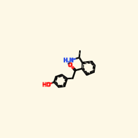 CC(N)c1ccccc1C(=O)Cc1ccc(O)cc1